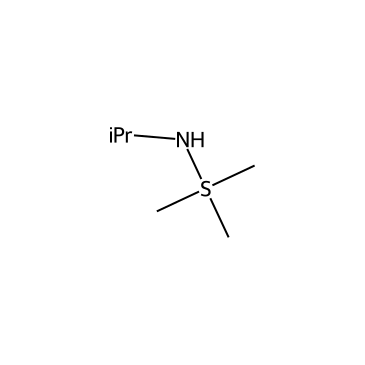 CC(C)NS(C)(C)C